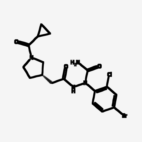 NC(=O)N(NC(=O)C[C@@H]1CCN(C(=O)C2CC2)C1)c1ccc(Br)cc1Cl